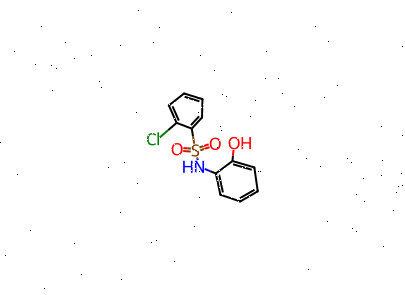 O=S(=O)(Nc1ccccc1O)c1ccccc1Cl